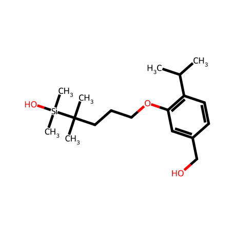 CC(C)c1ccc(CO)cc1OCCCC(C)(C)[Si](C)(C)O